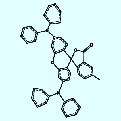 Cc1ccc2c(c1)C(=O)OC21c2ccc(N(c3ccccc3)c3ccccc3)cc2Oc2cc(N(c3ccccc3)c3ccccc3)ccc21